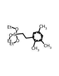 CCO[Si](CCc1cc(C)cc(C)c1C)(OCC)OCC